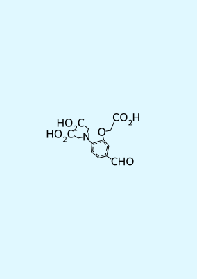 O=Cc1ccc(N(CC(=O)O)CC(=O)O)c(OCC(=O)O)c1